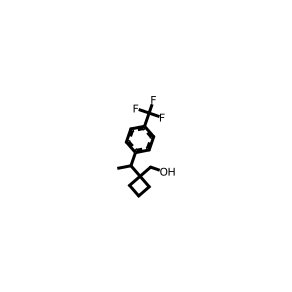 CC(c1ccc(C(F)(F)F)cc1)C1(CO)CCC1